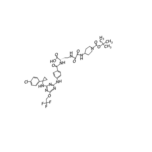 CC(C)(C)OC(=O)N1CCC(NC(=O)C(=O)NCC[C@H](NC(=O)c2ccc(Nc3nc(NC4(c5ccc(Cl)cc5)CC4)nc(OCC(F)(F)F)n3)cc2)C(=O)O)CC1